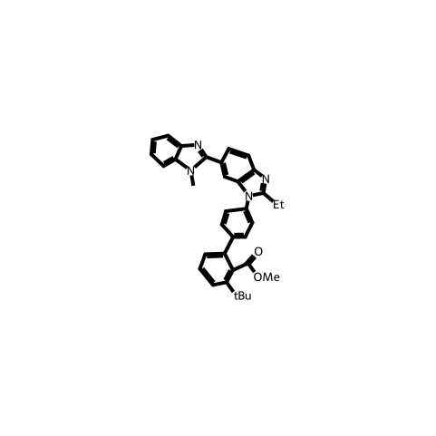 CCc1nc2ccc(-c3nc4ccccc4n3C)cc2n1-c1ccc(-c2cccc(C(C)(C)C)c2C(=O)OC)cc1